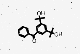 CC(C)(O)c1cc(C(=O)c2ccccc2)cc(C(C)(C)O)c1